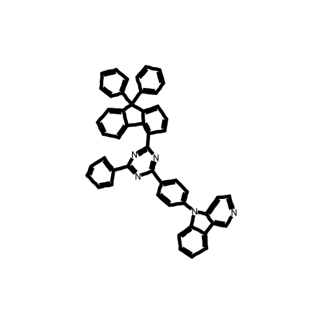 c1ccc(-c2nc(-c3ccc(-n4c5ccccc5c5cnccc54)cc3)nc(-c3cccc4c3-c3ccccc3C4(c3ccccc3)c3ccccc3)n2)cc1